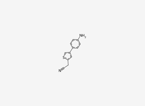 N#CCc1cc(-c2ccc(N)cc2)cs1